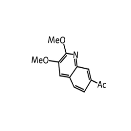 COc1cc2ccc(C(C)=O)cc2nc1OC